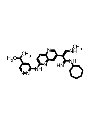 CN/C=C(\C(=N)NC1CCCCCC1)c1cnc2ccc(Nc3cc(C(C)C)cnn3)nc2c1